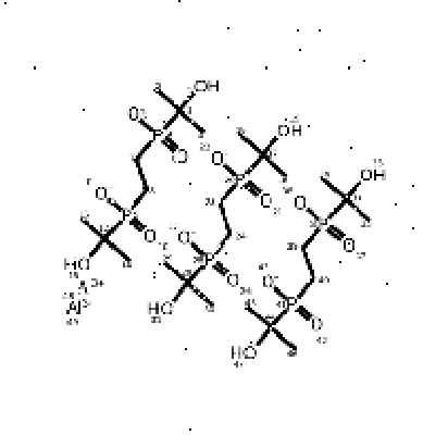 CC(C)(O)P(=O)([O-])CCP(=O)([O-])C(C)(C)O.CC(C)(O)P(=O)([O-])CCP(=O)([O-])C(C)(C)O.CC(C)(O)P(=O)([O-])CCP(=O)([O-])C(C)(C)O.[Al+3].[Al+3]